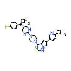 Cc1ccc(-c2cc3c(N4CCN(c5ncc([C@H](C)c6ccc(F)cc6)cn5)CC4)ncnn3c2)cn1